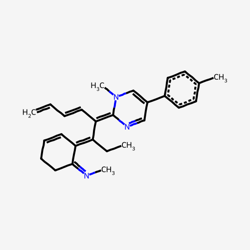 C=C/C=C/C(=C1/N=CC(c2ccc(C)cc2)=CN1C)C(/CC)=C1\C=CCC\C1=N\C